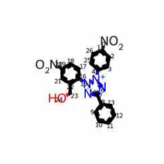 O=[N+]([O-])c1ccc(-[n+]2nc(-c3ccccc3)nn2-c2ccc([N+](=O)[O-])cc2CO)cc1